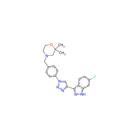 CC1(C)CN(Cc2ccc(-n3cc(-c4n[nH]c5cc(F)ccc45)nn3)cc2)CCO1